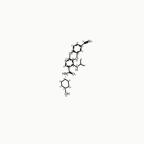 CC(C)Nc1c(C(=O)N[C@H]2CC[C@H](O)CC2)cnc2c1Oc1cc(C#N)ccc1O2